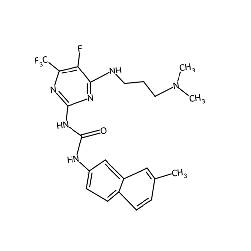 Cc1ccc2ccc(NC(=O)Nc3nc(NCCCN(C)C)c(F)c(C(F)(F)F)n3)cc2c1